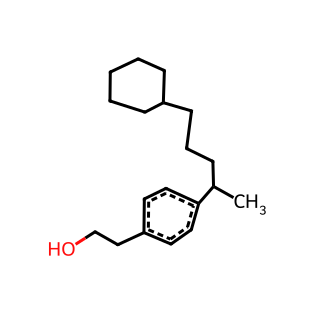 CC(CCCC1CCCCC1)c1ccc(CCO)cc1